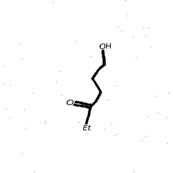 CCC(=O)CCCO